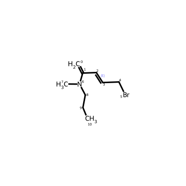 C=C(/C=C/CBr)N(C)CCC